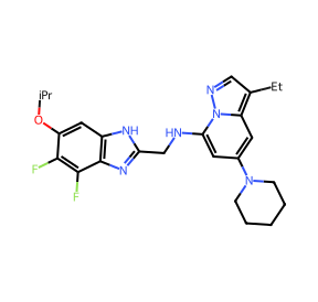 CCc1cnn2c(NCc3nc4c(F)c(F)c(OC(C)C)cc4[nH]3)cc(N3CCCCC3)cc12